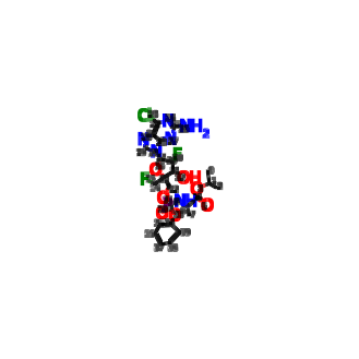 CC(C)OC(=O)[C@@H](C)NP(=O)(OC[C@@]1(CF)OC(n2cnc3c(Cl)nc(N)nc32)[C@@H](F)[C@@H]1O)Oc1ccccc1